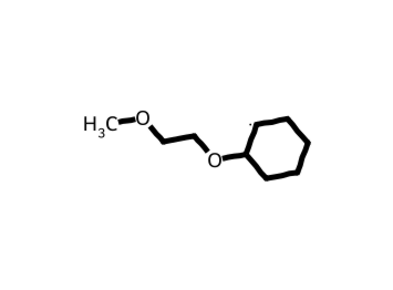 COCCOC1[CH]CCCC1